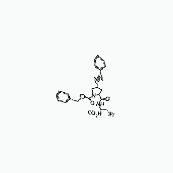 CC(C)C[C@H](NC(=O)[C@@H]1CC(N=Nc2ccccc2)CN1C(=O)OCc1ccccc1)C(=O)O